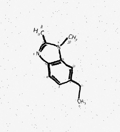 CCc1ccc2nc(C)n(C)c2c1